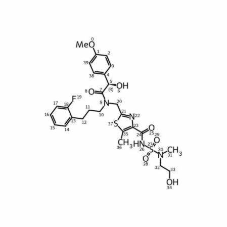 COc1ccc([C@@H](O)C(=O)N(CCCc2ccccc2F)Cc2nc(C(=O)NS(=O)(=O)N(C)CCO)c(C)s2)cc1